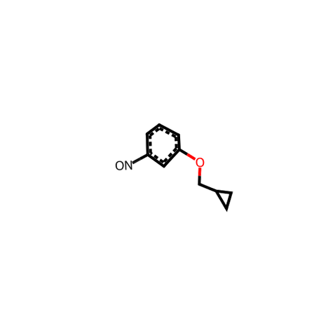 O=Nc1cccc(OCC2CC2)c1